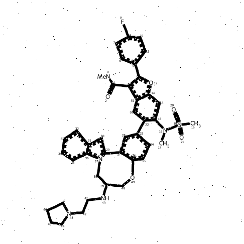 CNC(=O)c1c(-c2ccc(F)cc2)oc2cc(N(C)S(C)(=O)=O)c(-c3ccc4c(c3)-c3cc5ccccc5n3CC(NCCN3CCCC3)CO4)cc12